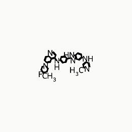 Cc1cc(Nc2ccc3[nH]c(-c4ccc(Nc5ccnc6ccc(N7CCC(C)(F)CC7)cc56)cc4)nc3c2)ccn1